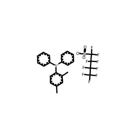 Cc1ccc([S+](c2ccccc2)c2ccccc2)c(C)c1.O=S(=O)([O-])C(F)(F)C(F)(F)C(F)(F)C(F)(F)F